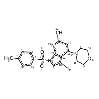 Cc1ccc(S(=O)(=O)n2cc(I)c3c(N4CCOCC4)cc(C)nc32)cc1